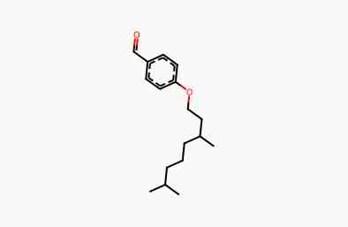 CC(C)CCCC(C)CCOc1ccc(C=O)cc1